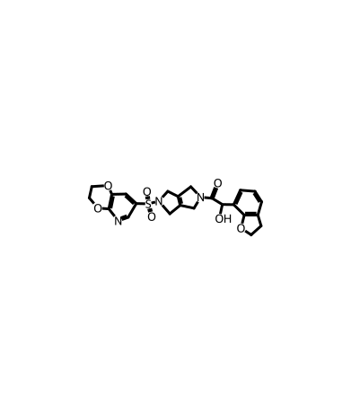 O=C(C(O)c1cccc2c1OCC2)N1CC2=C(C1)CN(S(=O)(=O)c1cnc3c(c1)OCCO3)C2